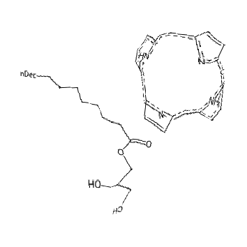 C1=Cc2cc3ccc(cc4nc(cc5ccc(cc1n2)[nH]5)C=C4)[nH]3.CCCCCCCCCCCCCCCCCC(=O)OCC(O)CO